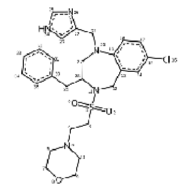 O=S(=O)(CCN1CCOCC1)N1Cc2cc(Cl)ccc2N(Cc2c[nH]cn2)CC1Cc1ccccc1